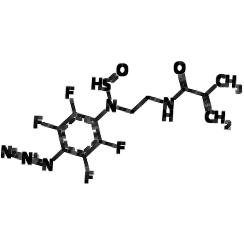 C=C(C)C(=O)NCCN([SH]=O)c1c(F)c(F)c(N=[N+]=[N-])c(F)c1F